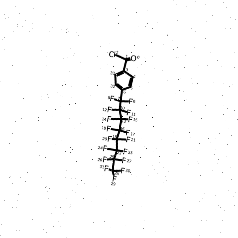 O=C(Cl)c1ccc(C(F)(F)C(F)(F)C(F)(F)C(F)(F)C(F)(F)C(F)(F)C(F)(F)C(F)(F)F)cc1